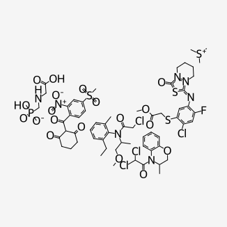 CC1COc2ccccc2N1C(=O)C(Cl)Cl.CCc1cccc(C)c1N(C(=O)CCl)C(C)COC.COC(=O)CSc1cc(/N=c2\sc(=O)n3n2CCCC3)c(F)cc1Cl.CS(=O)(=O)c1ccc(C(=O)C2C(=O)CCCC2=O)c([N+](=O)[O-])c1.C[S+](C)C.O=C(O)CNCP(=O)([O-])O